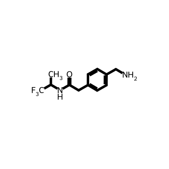 CC(NC(=O)Cc1ccc(CN)cc1)C(F)(F)F